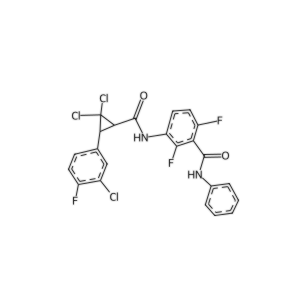 O=C(Nc1ccccc1)c1c(F)ccc(NC(=O)C2C(c3ccc(F)c(Cl)c3)C2(Cl)Cl)c1F